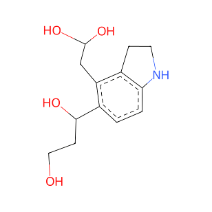 OCCC(O)c1ccc2c(c1CC(O)O)CCN2